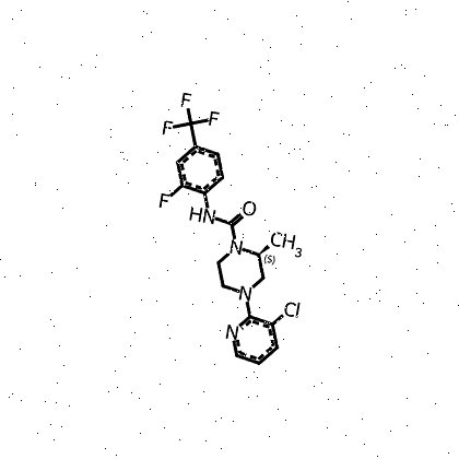 C[C@H]1CN(c2ncccc2Cl)CCN1C(=O)Nc1ccc(C(F)(F)F)cc1F